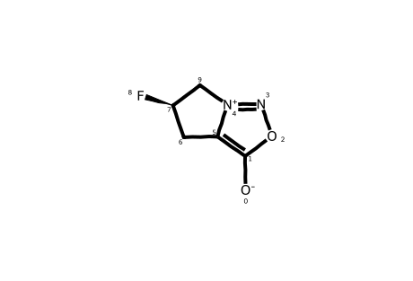 [O-]c1on[n+]2c1C[C@@H](F)C2